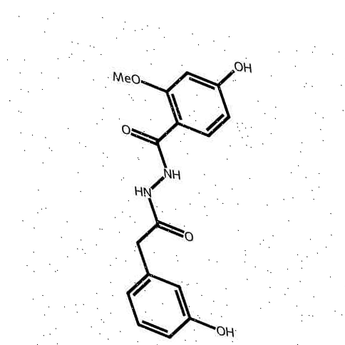 COc1cc(O)ccc1C(=O)NNC(=O)Cc1cccc(O)c1